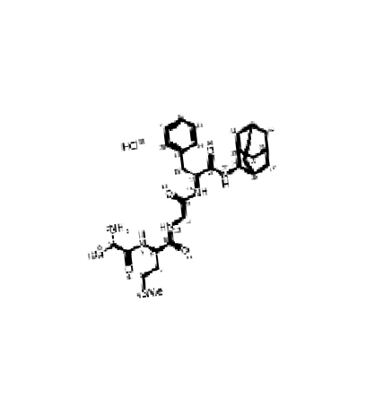 CC[C@H](C)[C@H](N)C(=O)N[C@H](CCSC)C(=O)NCC(=O)N[C@@H](Cc1ccccc1)C(=O)NC1C2CC3CC(C2)CC1C3.Cl